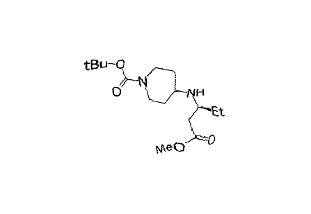 CC[C@@H](CC(=O)OC)NC1CCN(C(=O)OC(C)(C)C)CC1